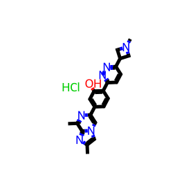 Cc1cn2cc(-c3ccc(-c4ccc(C5CN(C)C5)nn4)c(O)c3)nc(C)c2n1.Cl